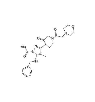 Cc1c(C2CCN(C(=O)CN3CCOCC3)CC2=O)nn(C(=O)C(C)(C)C)c1NCc1ccccc1